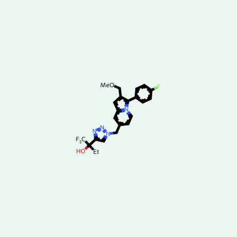 CCC(O)(c1cn(Cc2ccn3c(-c4ccc(F)cc4)c(COC)cc3c2)nn1)C(F)(F)F